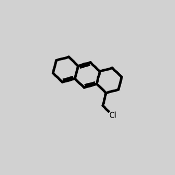 ClCC1CCCC2C=C3CCCC=C3C=C21